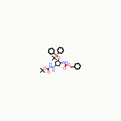 CC(C)(C)OC(=O)NNC1CC(NC(=O)OCc2ccccc2)C(O[Si](c2ccccc2)(c2ccccc2)C(C)(C)C)C1